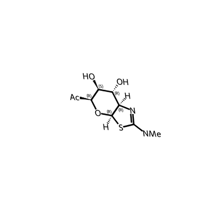 CNC1=N[C@@H]2[C@@H](O)[C@H](O)[C@H](C(C)=O)O[C@@H]2S1